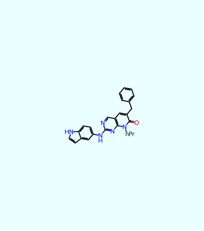 CCCn1c(=O)c(Cc2ccccc2)cc2cnc(Nc3ccc4[nH]ccc4c3)nc21